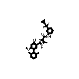 COc1cc(Cl)c(-c2nc(C(=O)Nc3cccc(C(F)(F)C4CC4)c3)c(C)[nH]2)cc1-c1c(C)cccc1C